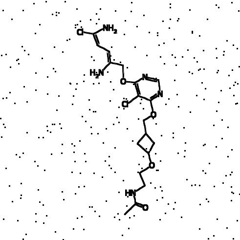 CC(=O)NCCOC1CC(COc2ncnc(OC/C(N)=C/C=C(\N)Cl)c2Cl)C1